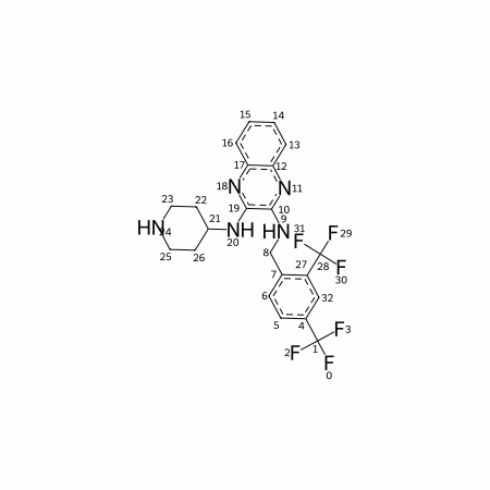 FC(F)(F)c1ccc(CNc2nc3ccccc3nc2NC2CCNCC2)c(C(F)(F)F)c1